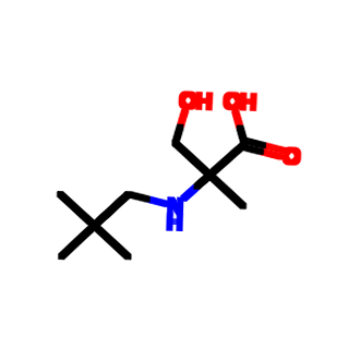 CC(C)(C)CNC(C)(CO)C(=O)O